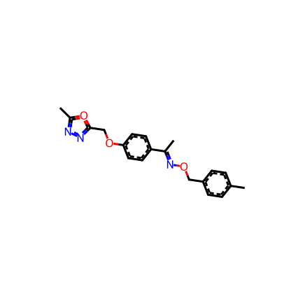 C/C(=N\OCc1ccc(C)cc1)c1ccc(OCc2nnc(C)o2)cc1